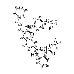 CC(C)(C)OC(=O)Nc1ccccc1NC(=O)c1ccc(CN(CCCN2CCOCC2)C(=O)Nc2ccc(OC(F)F)cc2)cc1